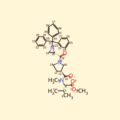 COC(=O)[C@H](C(C)C)N(C)C(=O)[C@H]1CCN(C(=O)[C@@H]2CN2C(c2ccccc2)(c2ccccc2)c2ccccc2)C1